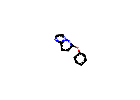 c1ccc(Oc2ccc3nccn3n2)cc1